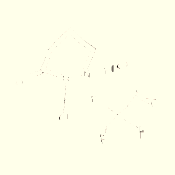 O=C(O)C(F)(F)F.O=c1cccnn1C(F)(F)F